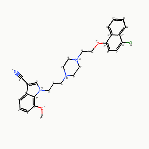 COc1cccc2c(C#N)cn(CCCN3CCN(CCOc4ccc(Cl)c5ccccc45)CC3)c12